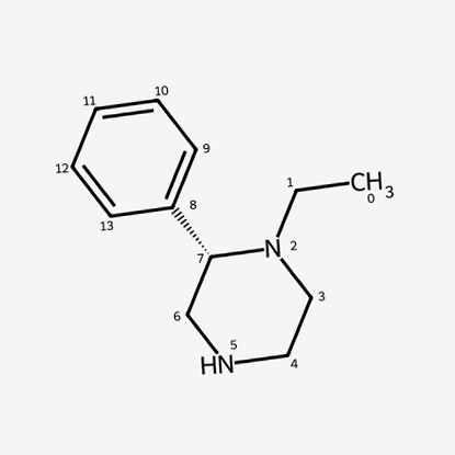 CCN1CCNC[C@@H]1c1ccccc1